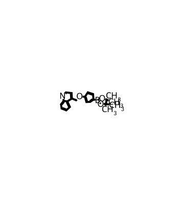 CC1(C)OB(c2ccc(OCc3ccnc4ccccc34)cc2)OC1(C)C